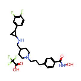 O=C(NO)c1ccc(CCCN2CCC(CNC3CC3c3ccc(F)c(F)c3)CC2)cc1.O=C(O)C(F)(F)F